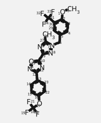 COc1ccc(Cn2nc(-c3nc(-c4ccc(OC(F)(F)F)cc4)no3)nc2C)cc1C(F)(F)F